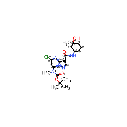 CN(C(=O)OC(C)(C)C)c1cc(Cl)nc2c(C(=O)N[C@@H]3CCC[C@@](C)(O)C3)cnn12